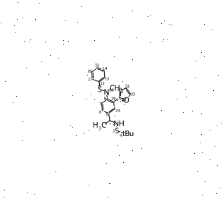 CC(NSC(C)(C)C)c1ccc(N(C)Sc2ccccc2)c(-c2ccco2)c1